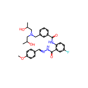 COc1ccc(/C=N/NC(=O)c2cc(F)ccc2NC(=O)c2cccc(CN(CC(C)O)CC(C)O)c2)cc1